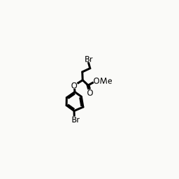 COC(=O)C(CCBr)Oc1ccc(Br)cc1